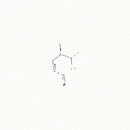 C=C/C=C\N(C)C(C)O